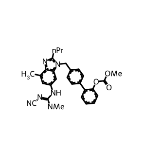 CCCc1nc2c(C)cc(NC(=NC#N)NC)cc2n1Cc1ccc(-c2ccccc2OC(=O)OC)cc1